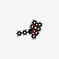 c1ccc(-c2ccc(-c3cc(-c4ccccc4)nc(-c4cccc5c4C4(c6ccccc6-c6ccccc64)c4ccccc4C54c5ccccc5-c5ccccc54)c3)cc2)cc1